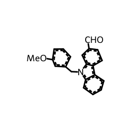 COc1cccc(Cn2c3ccccc3c3ccc(C=O)cc32)c1